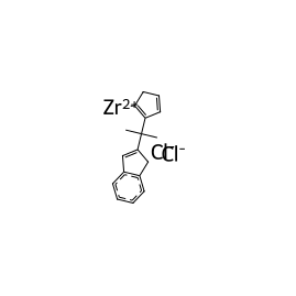 CC(C)(C1=Cc2ccccc2C1)C1=[C]([Zr+2])CC=C1.[Cl-].[Cl-]